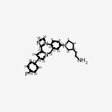 NCCC1CCN(c2ccc3c(c2)Cn2cc(-c4ccc(F)cc4)cc2-c2nccn2-3)C1